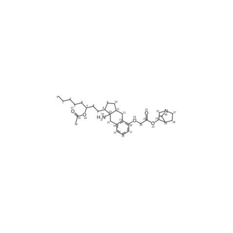 CCCCCC(CCC1CCC2Cc3c(cccc3OCC(=O)OC3CN4CCC3C4)CC12N)OC(C)=O